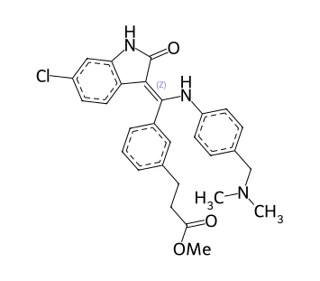 COC(=O)CCc1cccc(/C(Nc2ccc(CN(C)C)cc2)=C2/C(=O)Nc3cc(Cl)ccc32)c1